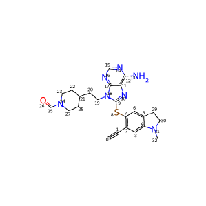 C#Cc1cc2c(cc1Sc1nc3c(N)ncnc3n1CCC1CCN(C=O)CC1)CCN2C